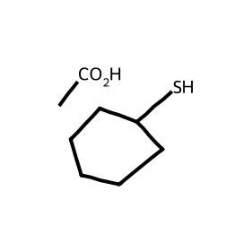 CC(=O)O.SC1CCCCC1